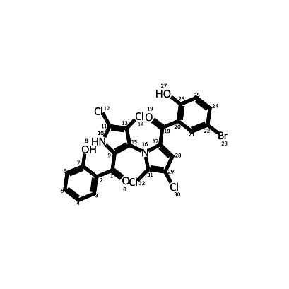 O=C(c1ccccc1O)c1[nH]c(Cl)c(Cl)c1-n1c(C(=O)c2cc(Br)ccc2O)cc(Cl)c1Cl